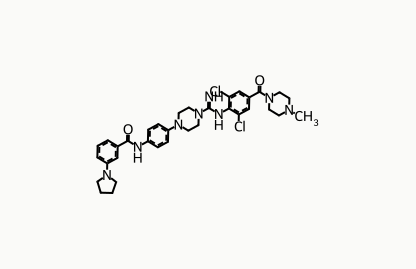 CN1CCN(C(=O)c2cc(Cl)c(NC(=N)N3CCN(c4ccc(NC(=O)c5cccc(N6CCCC6)c5)cc4)CC3)c(Cl)c2)CC1